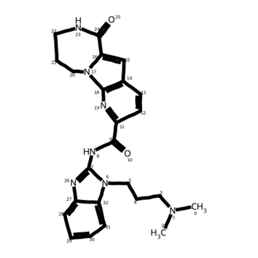 CN(C)CCCn1c(NC(=O)c2ccc3cc4n(c3n2)CCCNC4=O)nc2ccccc21